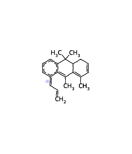 C=C/C=c1/cccc2c1=C(C)C1=C(C)C=CCC1C2(C)C